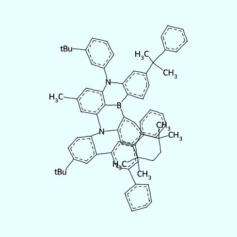 Cc1cc2c3c(c1)N(c1ccc(C(C)(C)C)cc1-c1cc(-c4ccccc4)cc(-c4ccccc4)c1)c1cc4c(cc1B3c1ccc(C(C)(C)c3ccccc3)cc1N2c1cccc(C(C)(C)C)c1)C(C)(C)CCC4(C)C